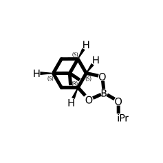 CC(C)OB1O[C@H]2[C@H]3C[C@@H](C[C@H]2O1)C3(C)C